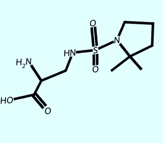 CC1(C)CCCN1S(=O)(=O)NCC(N)C(=O)O